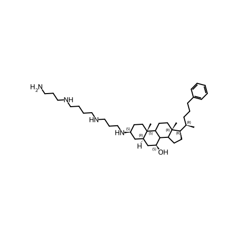 C[C@H](CCCc1ccccc1)[C@H]1CCC2C3C(CC[C@@]21C)[C@@]1(C)CC[C@H](NCCCNCCCCNCCCN)C[C@@H]1C[C@@H]3O